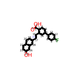 O=C(O)c1ccc(-c2ccc(F)cc2)cc1/C=C/c1ccc2ccc(O)cc2c1